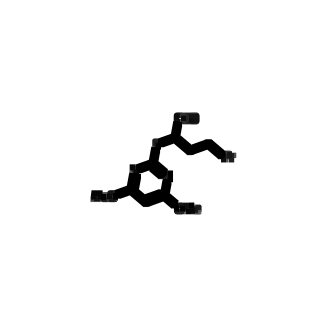 COc1cc(OC)nc(SC(C=O)CCC(C)C)n1